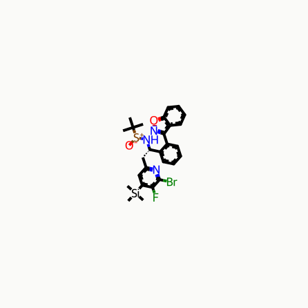 CC(C)(C)[S+]([O-])N[C@@H](Cc1cc([Si](C)(C)C)c(F)c(Br)n1)c1ccccc1-c1noc2ccccc12